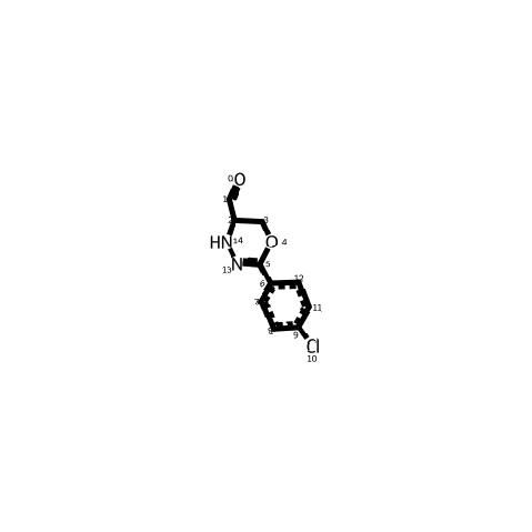 O=CC1COC(c2ccc(Cl)cc2)=NN1